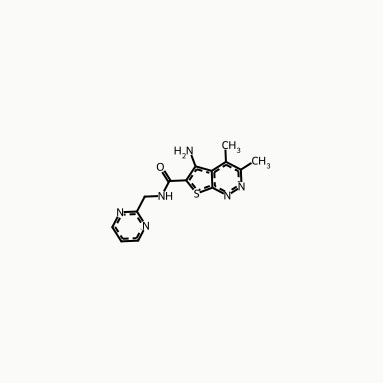 Cc1nnc2sc(C(=O)NCc3ncccn3)c(N)c2c1C